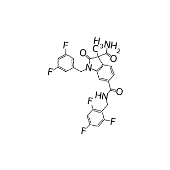 CC1(C(N)=O)C(=O)N(Cc2cc(F)cc(F)c2)c2cc(C(=O)NCc3c(F)cc(F)cc3F)ccc21